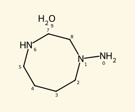 NN1CCCCNCC1.O